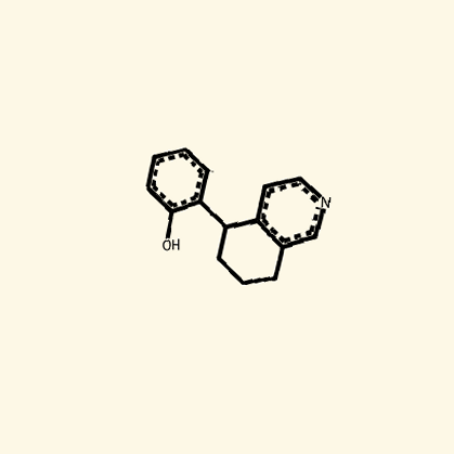 Oc1ccc[c]c1C1CCCc2cnccc21